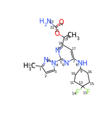 Cc1ccn(-c2nc(NC3CCC(F)(F)CC3)cc(C(C)OC(N)=O)n2)n1